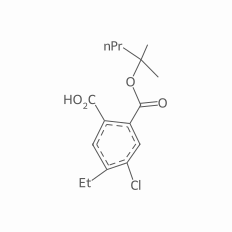 CCCC(C)(C)OC(=O)c1cc(Cl)c(CC)cc1C(=O)O